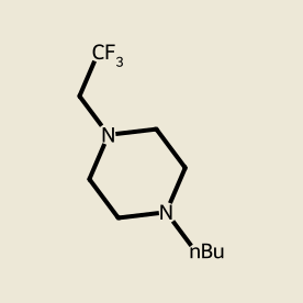 CCCCN1CCN(CC(F)(F)F)CC1